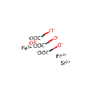 O=C([O-])[O-].O=C([O-])[O-].O=C([O-])[O-].[Fe+3].[Fe+3].[O-2].[Sr+2]